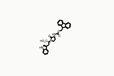 O=C(N[C@H]1CCN([C@@H](Cc2c[nH]c3ccccc23)C(=O)O)C1=O)OCC1c2ccccc2-c2ccccc21